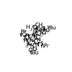 CCCSc1nc(N(C(=O)OC(C)(C)C)C2CC2c2ccc(Br)c(F)c2)c(N)c(N(N)[C@@H]2C[C@H](OC(=O)OC(C)(C)C)[C@H]3OC(C)(C)O[C@H]32)n1